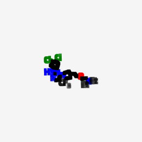 CCN(CC)CCOCCC1CCN(c2nc(Nc3ccc(Cl)c(Cl)c3)ncc2C(F)(F)F)CC1